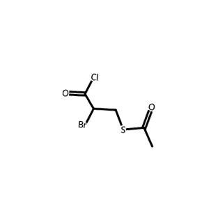 CC(=O)SCC(Br)C(=O)Cl